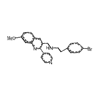 COc1ccc2cc(CNCCc3ccc(Br)cc3)c(-c3ccncc3)nc2c1